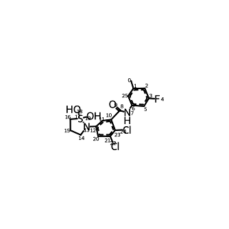 Cc1cc(F)cc(NC(=O)c2cc(N3CCCS3(O)O)cc(Cl)c2Cl)c1